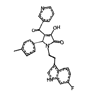 Cc1ccc(C2C(C(=O)c3cccnc3)=C(O)C(=O)N2CCc2c[nH]c3cc(F)ccc23)cc1